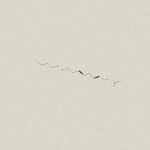 CCC(O)CCC=CCC=CCCCCCCCC(=O)O